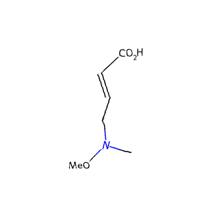 CON(C)CC=CC(=O)O